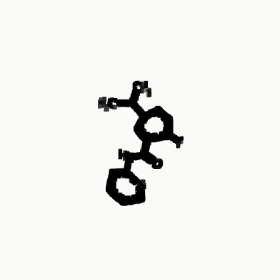 CC(C)c1ccc(F)c(C(=O)Nc2ccccn2)c1